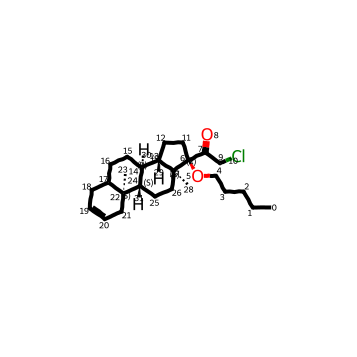 CCCCCO[C@]1(C(=O)CCl)CC[C@H]2[C@@H]3CCC4CC=CC[C@]4(C)[C@H]3CC[C@@]21C